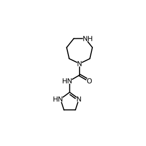 O=C(NC1=NCCN1)N1CCCNCC1